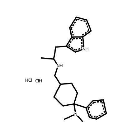 CC(Cc1c[nH]c2ccccc12)NCC1CCC(c2ccccc2)(N(C)C)CC1.Cl.Cl